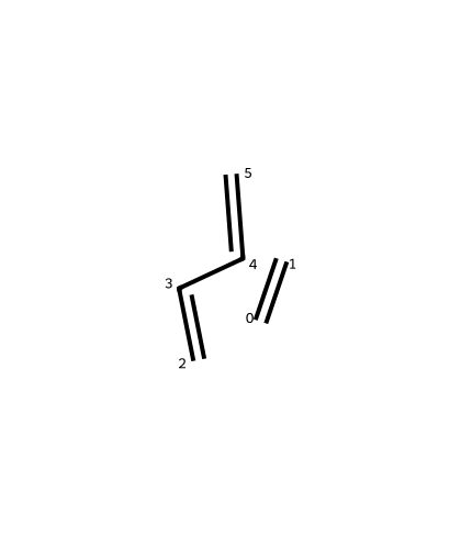 C=C.C=CC=C